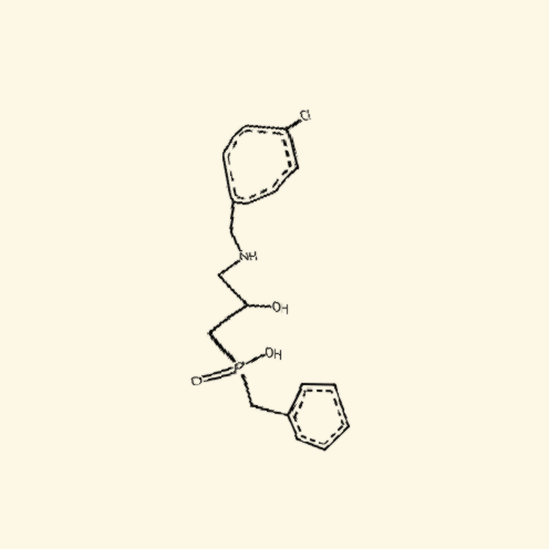 O=P(O)(Cc1ccccc1)CC(O)CNCc1ccc(Cl)cc1